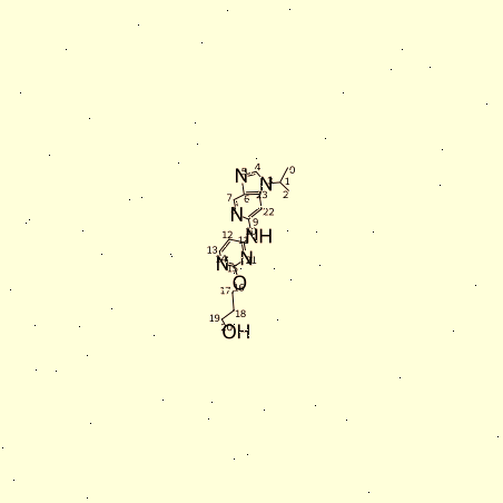 CC(C)n1cnc2cnc(Nc3ccnc(OCCCO)n3)cc21